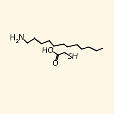 CCCCCCCCCCCCN.O=C(O)CS